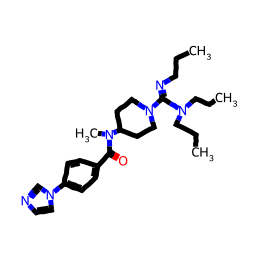 CCCN=C(N(CCC)CCC)N1CCC(N(C)C(=O)c2ccc(-n3ccnc3)cc2)CC1